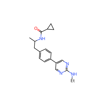 CCNc1ncc(-c2ccc(CC(C)NC(=O)C3CC3)cc2)cn1